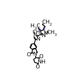 C=C/C=c1\c(=C/C)c(-c2nc(-c3ccc4c(c3)CN(C3CCC(=O)NC3=O)C4=O)cn2C)nn1C